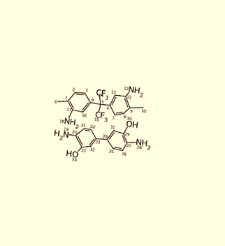 Cc1ccc(C(c2ccc(C)c(N)c2)(C(F)(F)F)C(F)(F)F)cc1N.Nc1ccc(-c2ccc(N)c(O)c2)cc1O